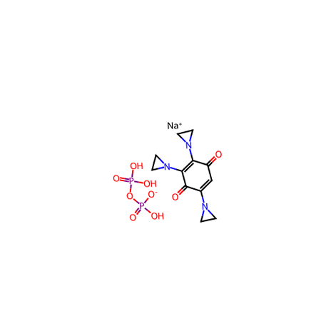 O=C1C=C(N2CC2)C(=O)C(N2CC2)=C1N1CC1.O=P([O-])(O)OP(=O)(O)O.[Na+]